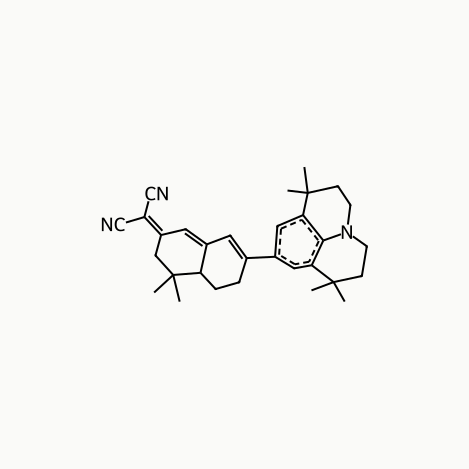 CC1(C)CCN2CCC(C)(C)c3cc(C4=CC5=CC(=C(C#N)C#N)CC(C)(C)C5CC4)cc1c32